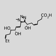 CC/C=C\C[C@@H](O)[C@@H](O)/C=C/c1c([C@@H](O)C/C=C\CCC(=O)O)nnn1C